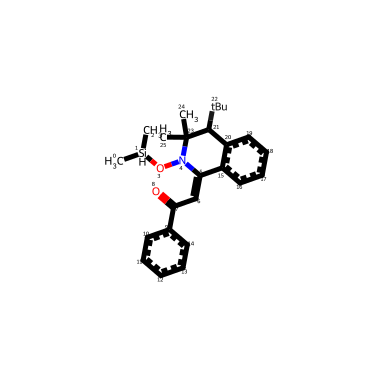 C[SiH](C)ON1C(=CC(=O)c2ccccc2)c2ccccc2C(C(C)(C)C)C1(C)C